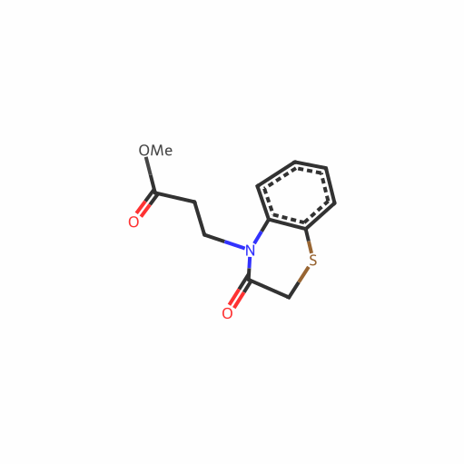 COC(=O)CCN1C(=O)CSc2ccccc21